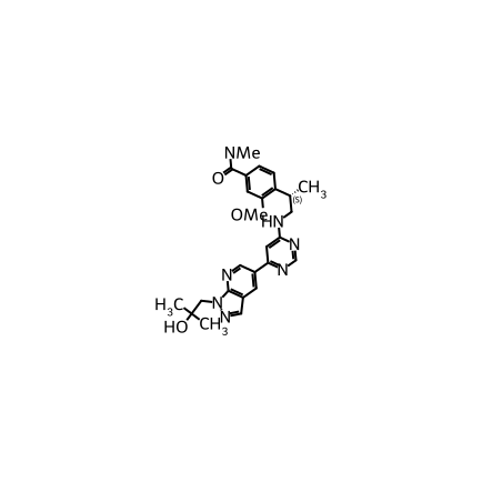 CNC(=O)c1ccc([C@H](C)CNc2cc(-c3cnc4c(cnn4CC(C)(C)O)c3)ncn2)c(OC)c1